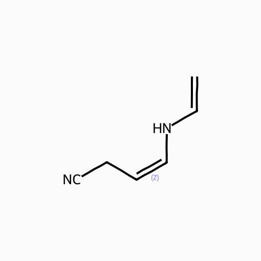 C=CN/C=C\CC#N